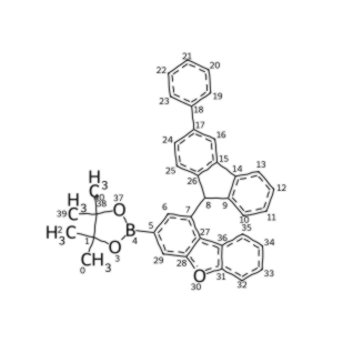 CC1(C)OB(c2cc(C3c4ccccc4-c4cc(-c5ccccc5)ccc43)c3c(c2)oc2ccccc23)OC1(C)C